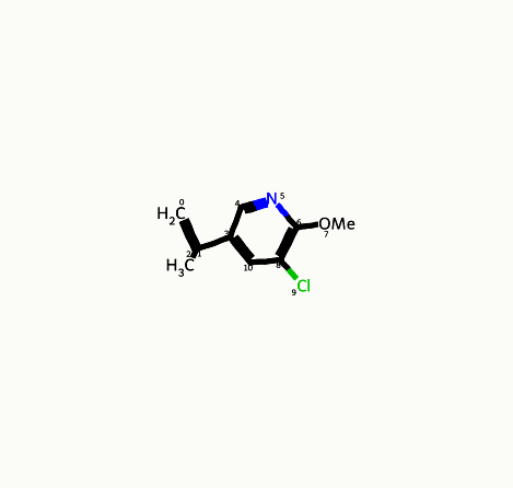 C=C(C)c1cnc(OC)c(Cl)c1